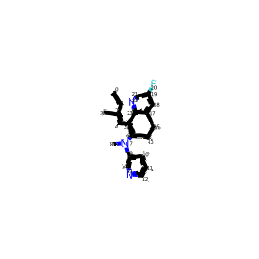 C=C/C(C)=C\C1=C(N(C)c2cccnc2)CCc2cc(F)cnc21